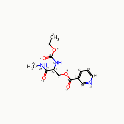 CCOC(=O)N[C@@H](COC(=O)c1cccnc1)C(=O)NC